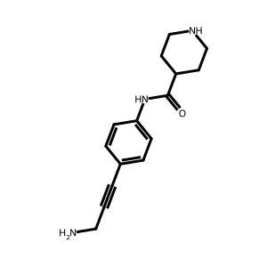 NCC#Cc1ccc(NC(=O)C2CCNCC2)cc1